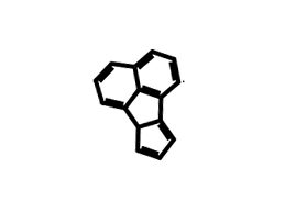 [c]1ccc2cccc3c2c1C1=CC=CC13